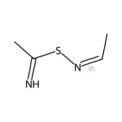 C/C=N\SC(C)=N